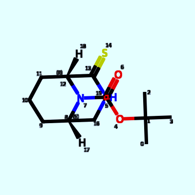 CC(C)(C)OC(=O)N1[C@H]2CCC[C@@H]1C(=S)NC2